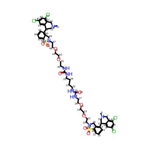 CN1Cc2c(Cl)cc(Cl)cc2C(c2cccc3c2CN(CCOCCOCCNC(=O)NCCCCNC(=O)NCCOCCOCCN2Cc4c(C5CN(C)Cc6c(Cl)cc(Cl)cc65)cccc4S2(=O)=O)S3(=O)=O)C1